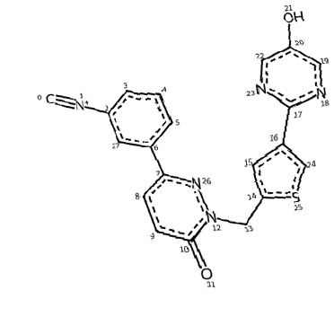 [C-]#[N+]c1cccc(-c2ccc(=O)n(Cc3cc(-c4ncc(O)cn4)cs3)n2)c1